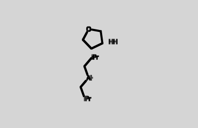 C1CCOC1.CC(C)[CH2][Al][CH2]C(C)C.[HH]